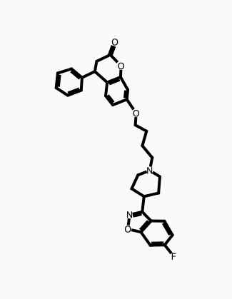 O=C1CC(c2ccccc2)c2ccc(OCCCCN3CCC(c4noc5cc(F)ccc45)CC3)cc2O1